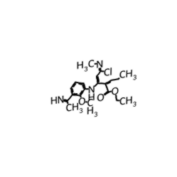 CC/C=C(C(=O)OCC)/C(=C\C(Cl)=N/C)Nc1cccc(C(C)=N)c1OC